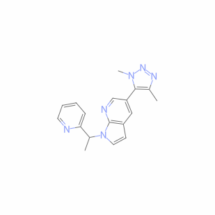 Cc1nnn(C)c1-c1cnc2c(ccn2C(C)c2ccccn2)c1